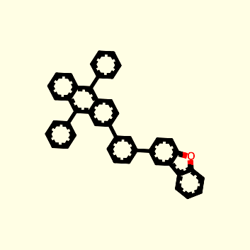 c1ccc(-c2c3ccccc3c(-c3ccccc3)c3cc(-c4cccc(-c5ccc6oc7ccccc7c6c5)c4)ccc23)cc1